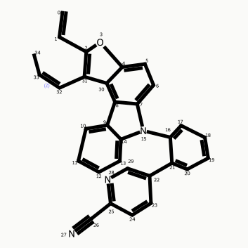 C=Cc1oc2ccc3c(c4ccccc4n3-c3ccccc3-c3ccc(C#N)nc3)c2c1/C=C\C